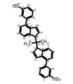 CC(C)(C)c1cccc(-c2cccc3c2C=CC3C(C)(C)C2C=Cc3c(-c4cccc(C(C)(C)C)c4)cccc32)c1